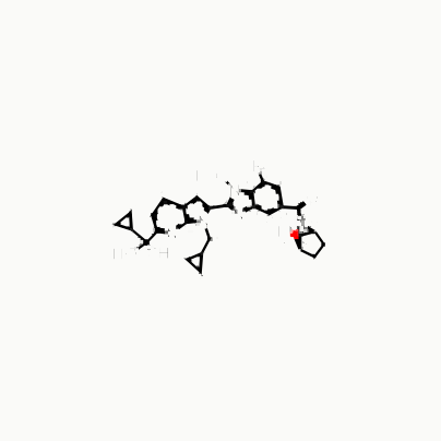 Cn1c(-c2cc3ccc(C(C)(O)C4CC4)nc3n2CC2CC2)nc2cc(C(=O)N3CC4CCC3[C@@H]4N)cc(F)c21